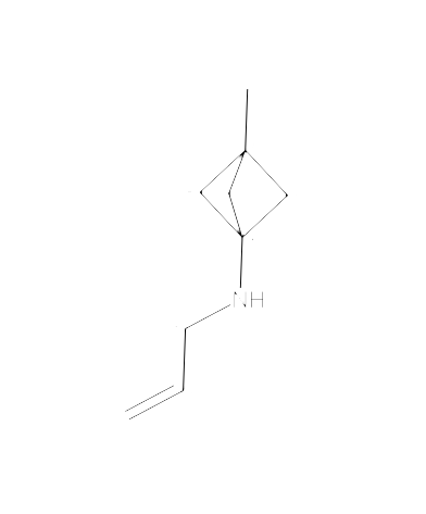 C=CCNC12CC(C)(C1)C2